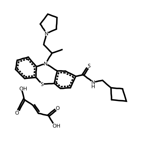 CC(CN1CCCC1)N1c2ccccc2Sc2ccc(C(=S)NCC3CCC3)cc21.O=C(O)/C=C/C(=O)O